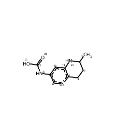 CC1CCc2ncc(NC(=O)O)cc2N1